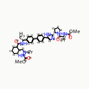 COC(=O)N[C@H](C(=O)N1CCC[C@H]1c1ncc(-c2ccc(-c3ccc([C@H](C)NC(=O)C4CCCCC4CN(NC(=O)OC)C(C)C)cc3)cc2)[nH]1)C(C)C